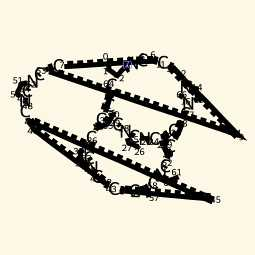 CCC1/C=N\Cc2cc3cc(c2)CN2CCN(Cc4cc5cc(c4)CN4CCN(Cc6cc(cc(c6)CN6CCN(Cc7cc(cc(c7)CN7CCN(C3)C7)CC(C)CN(CC)C5)C6)C1)C4)C2